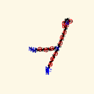 [N-]=[N+]=NCCOCCOCCOCCN(CCOCCOCCOCCN=[N+]=[N-])CCOCCOCCOCCC(=O)ON1C(=O)CCC1=O